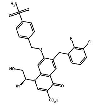 CC(C)[C@@H](CO)n1cc(C(=O)O)c(=O)c2cc(Cc3cccc(Cl)c3F)c(OCc3ccc(S(N)(=O)=O)cc3)cc21